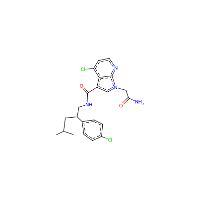 CC(C)CC(CNC(=O)c1cn(CC(N)=O)c2nccc(Cl)c12)c1ccc(Cl)cc1